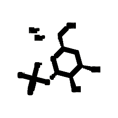 O=P([O-])([O-])O[C@@H]1O[C@H](CO)C[C@H](O)[C@H]1O.[Na+].[Na+]